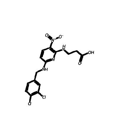 O=C(O)CCNc1nc(NCc2ccc(Cl)c(Cl)c2)ccc1[N+](=O)[O-]